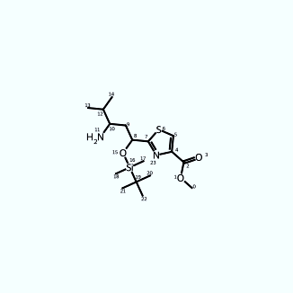 COC(=O)c1csc(C(CC(N)C(C)C)O[Si](C)(C)C(C)(C)C)n1